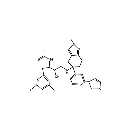 CC(=O)NC(Cc1cc(F)cc(F)c1)C(O)CNC1(c2cccc(C3C=CSC3)c2)CCc2nn(C)cc2C1